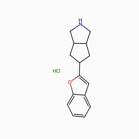 Cl.c1ccc2oc(C3CC4CNCC4C3)cc2c1